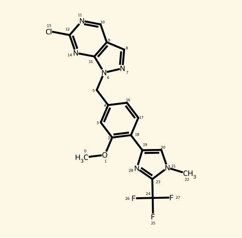 COc1cc(Cn2ncc3cnc(Cl)nc32)ccc1-c1cn(C)c(C(F)(F)F)n1